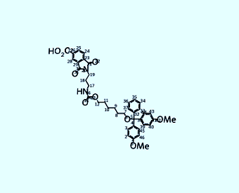 COc1ccc(C(OCCCCCCOC(=O)NCCCN2C(=O)c3ccc(C(=O)O)cc3C2=O)(c2ccccc2)c2ccc(OC)cc2)cc1